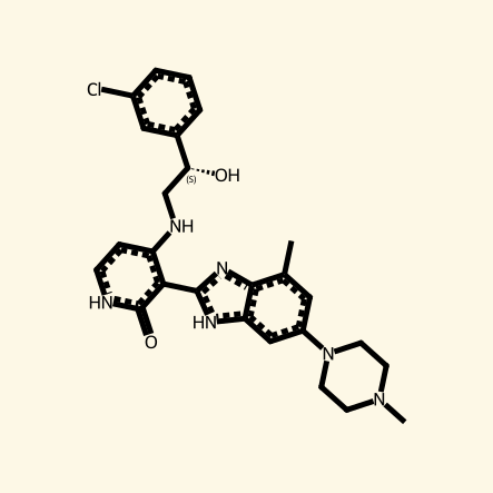 Cc1cc(N2CCN(C)CC2)cc2[nH]c(-c3c(NC[C@@H](O)c4cccc(Cl)c4)cc[nH]c3=O)nc12